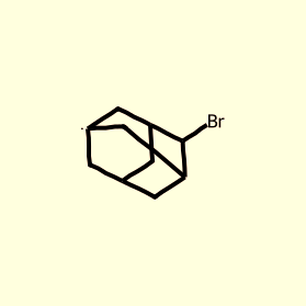 BrC1C2C[C]3CC(C2)CC1C3